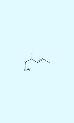 [CH]=C(C=CC)CCCC